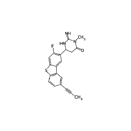 CC#Cc1ccc2sc3cc(F)c(C4CC(=O)N(C)C(=N)N4)cc3c2c1